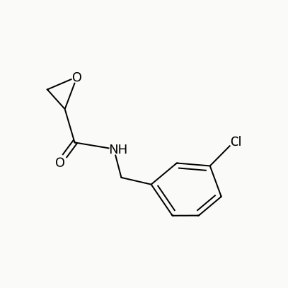 O=C(NCc1cccc(Cl)c1)C1CO1